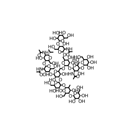 CC(=O)NC1[C@H](OCC2O[C@H](OCC3O[C@@H](O[C@@H]4C(CO)O[C@@H](O[C@@H]5C(CO)O[C@@H](C(C)C)C(NC(C)=O)[C@H]5O)C(NC(C)=O)[C@H]4O)C(O)[C@@H](O[C@H]4OC(CO)[C@@H](O)[C@H](O)C4O[C@@H]4OC(CO)[C@@H](O[C@@H]5OC(CO)[C@H](O)[C@H](O)C5O)[C@H](O)C4C)[C@@H]3O)C(O[C@@H]3OC(CO)[C@@H](O[C@@H]4OC(CO)[C@H](O)[C@H](O)C4O)[C@H](O)C3NC(C)=O)[C@@H](O)[C@@H]2O)OC(CO)[C@@H](O[C@@H]2OC(CO)[C@H](O)[C@H](O)C2O)[C@@H]1O